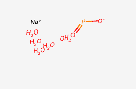 O.O.O.O.O.O=P[O-].[Na+]